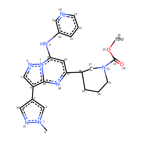 Cn1cc(-c2cnn3c(Nc4cccnc4)cc(C4CCCN(C(=O)OC(C)(C)C)C4)nc23)cn1